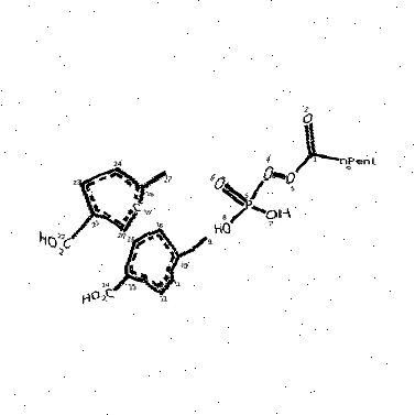 CCCCCC(=O)OOP(=O)(O)O.Cc1ccc(C(=O)O)cc1.Cc1ccc(C(=O)O)cc1